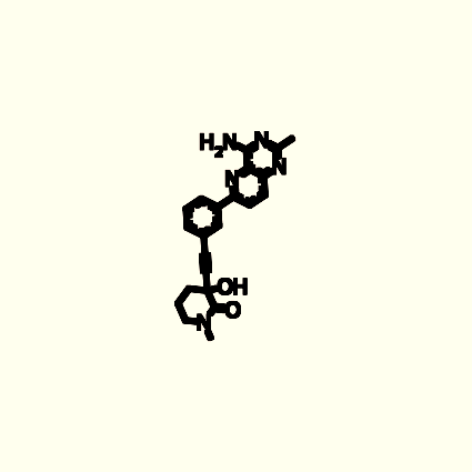 Cc1nc(N)c2nc(-c3cccc(C#CC4(O)CCCN(C)C4=O)c3)ccc2n1